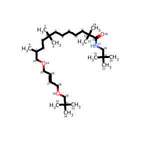 CC(CCC(C)(C)CCCCCC(C)(C)C(=O)NCC(C)(C)C)COC/C=C/COCC(C)(C)C